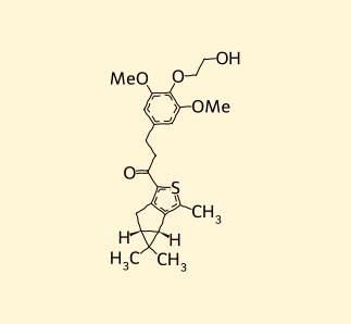 COc1cc(CCC(=O)c2sc(C)c3c2C[C@@H]2[C@H]3C2(C)C)cc(OC)c1OCCO